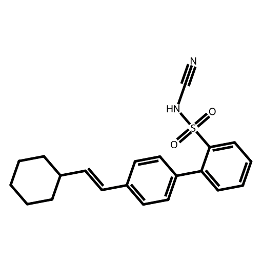 N#CNS(=O)(=O)c1ccccc1-c1ccc(C=CC2CCCCC2)cc1